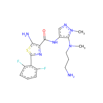 CN(CCCN)c1c(NC(=O)c2nc(-c3c(F)cccc3F)sc2N)cnn1C